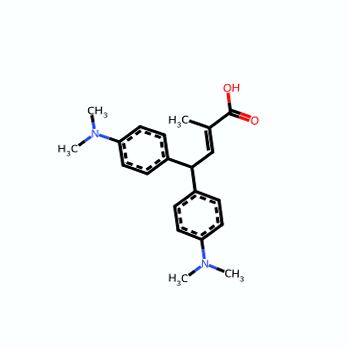 CC(=CC(c1ccc(N(C)C)cc1)c1ccc(N(C)C)cc1)C(=O)O